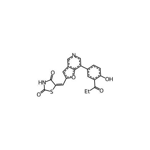 CCC(=O)c1cc(-c2cncc3cc(/C=C4/SC(=O)NC4=O)oc23)ccc1O